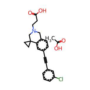 CC(=O)O.O=C(O)CCN1Cc2ccc(C#Cc3cccc(Cl)c3)cc2C2(CC2)C1